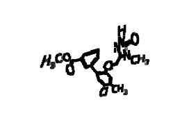 COC(=O)c1cccc(-c2cc(Cl)c(C)cc2OCc2n[nH]c(=O)n2C)c1